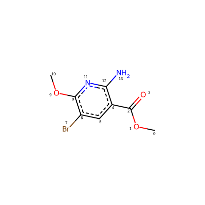 COC(=O)c1cc(Br)c(OC)nc1N